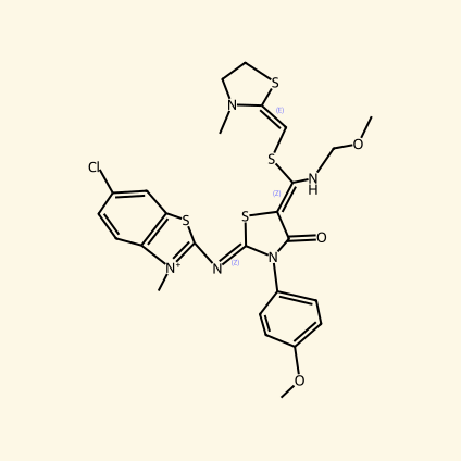 COCN/C(S/C=C1/SCCN1C)=C1/S/C(=N\c2sc3cc(Cl)ccc3[n+]2C)N(c2ccc(OC)cc2)C1=O